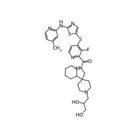 Cc1ccnc(Nc2ncc(Sc3ccnc(C(=O)NCC4(C5CCCCC5)CCN(CC(O)CO)CC4)c3F)s2)c1